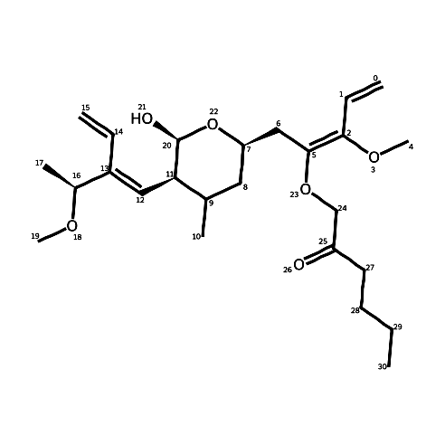 C=C/C(OC)=C(\C[C@H]1CC(C)[C@@H](/C=C(\C=C)[C@H](C)OC)[C@@H](O)O1)OCC(=O)CCCC